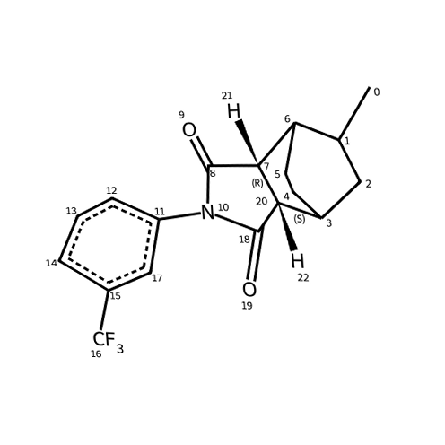 CC1CC2CCC1[C@H]1C(=O)N(c3cccc(C(F)(F)F)c3)C(=O)[C@@H]21